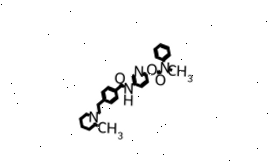 CC1CCCCN1CCc1ccc(C(=O)Nc2ccc(OC(=O)N(C)c3ccccc3)nc2)cc1